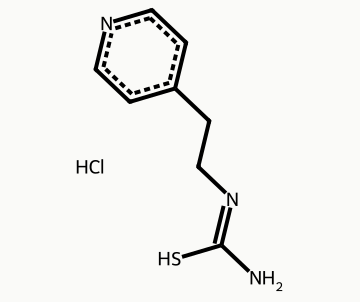 Cl.NC(S)=NCCc1ccncc1